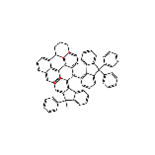 CC1(c2ccccc2)c2ccccc2-c2c(N(c3ccccc3-c3cccc4cccc(C5CCCCC5)c34)c3cccc4c3-c3ccccc3C4(c3ccccc3)c3ccccc3)cccc21